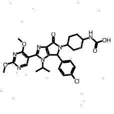 COc1ncc(-c2nc3c(n2C(C)C)C(c2ccc(Cl)cc2)N(C2CCC(NC(=O)O)CC2)C3=O)c(OC)n1